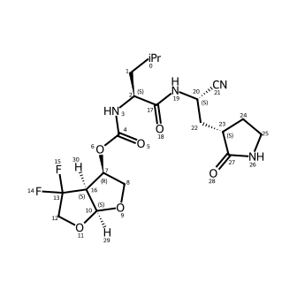 CC(C)C[C@H](NC(=O)O[C@H]1CO[C@H]2OCC(F)(F)[C@H]21)C(=O)N[C@H](C#N)C[C@@H]1CCNC1=O